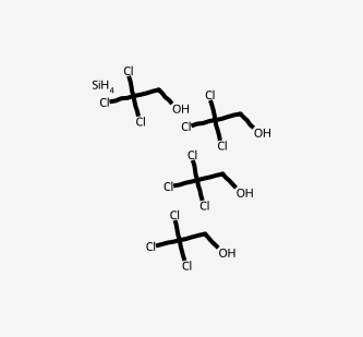 OCC(Cl)(Cl)Cl.OCC(Cl)(Cl)Cl.OCC(Cl)(Cl)Cl.OCC(Cl)(Cl)Cl.[SiH4]